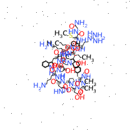 CCCC[C@@H](C(=O)N(C)[C@@H](CCCC)C(=O)N[C@@H](CCCNC(=N)N)C(=O)N[C@@H](CSCC)C(=O)NCC(N)=O)N(C)C(=O)[C@H](Cc1cn(CC(=O)O)c2ccccc12)NC(=O)[C@H](CCCCN)NC(=O)[C@H](Cc1c[nH]c2ccccc12)NC(=O)[C@@H]1C[C@@H](O)CN1C(=O)[C@H](CCCCN)NC(=O)[C@H](Cc1cnc[nH]1)NC(=O)[C@@H]1CCCN1C(=O)[C@H](CC(=O)O)NC(=O)[C@H](C)N(C)C(=O)[C@H](Cc1ccc(O)cc1)NC=O